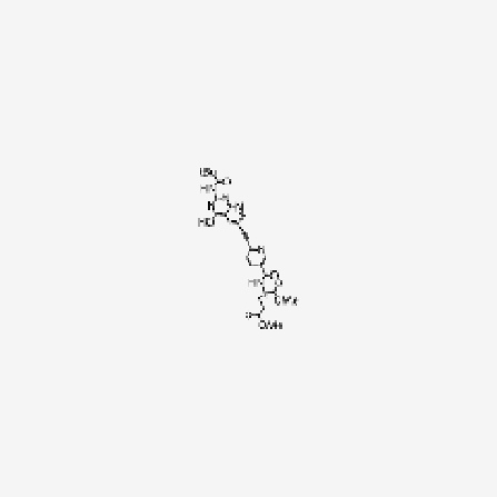 COC(=O)CC[C@@H](NC(=O)c1ccc(C#Cc2cnc3nc(NC(=O)C(C)(C)C)nc(O)c3c2)nc1)C(=O)OC